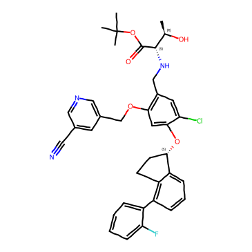 C[C@@H](O)[C@H](NCc1cc(Cl)c(O[C@H]2CCc3c(-c4ccccc4F)cccc32)cc1OCc1cncc(C#N)c1)C(=O)OC(C)(C)C